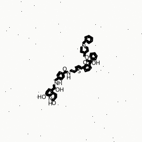 O=C(NCCc1ccc(-c2cccc(C(O)(C(=O)OCC3CCN(Cc4ccccc4)CC3)c3ccccc3)c2)s1)c1ccc(CNCC(O)c2ccc(O)c3[nH]c(=O)ccc23)cc1